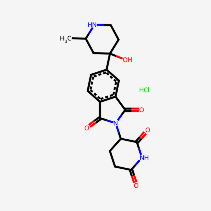 CC1CC(O)(c2ccc3c(c2)C(=O)N(C2CCC(=O)NC2=O)C3=O)CCN1.Cl